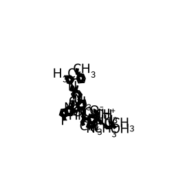 C/C=C(/NC(=O)c1ccc(N2CCC3(CC2)CN([C@H]2CCC[C@H]2c2ccccc2C(C)C)C3)cc1Oc1cc2c(nc1OC)CC=C2F)c1cc([NH+](C)[O-])c(NC[C@H]2CC[C@](C)(O)CC2)c2c1cnn2C